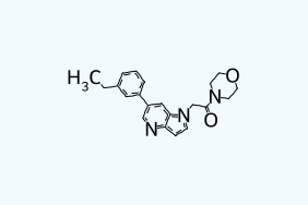 CCc1cccc(-c2cnc3ccn(CC(=O)N4CCOCC4)c3c2)c1